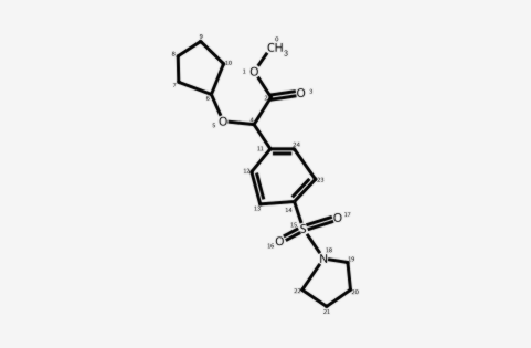 COC(=O)C(OC1CCCC1)c1ccc(S(=O)(=O)N2CCCC2)cc1